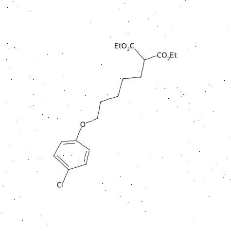 CCOC(=O)C(CCCCCOc1ccc(Cl)cc1)C(=O)OCC